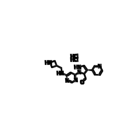 Cl.Cl.O=CC1C(c2cccnc2)=CNN1c1cc(NCC2CNC2)ncn1